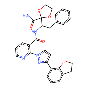 NC(=O)C1(C(Cc2ccccc2)NC(=O)c2cccnc2-n2ccc(-c3cccc4c3OCC4)n2)OCCO1